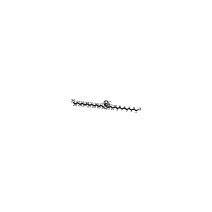 CCCCCCCCCCCCCC[S+]([O-])CCCCCCCCCCCCCC